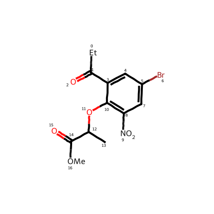 CCC(=O)c1cc(Br)cc([N+](=O)[O-])c1OC(C)C(=O)OC